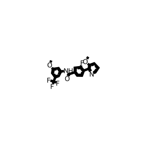 COc1cc(NC(=O)c2ccc(-c3ncccc3OC)c(F)c2)cc(C(F)(F)F)c1